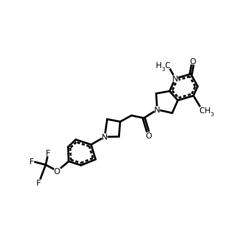 Cc1cc(=O)n(C)c2c1CN(C(=O)CC1CN(c3ccc(OC(F)(F)F)cc3)C1)C2